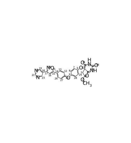 COCCC1(Oc2ccc(Oc3ccc(-c4cc(-c5cncnc5)no4)cc3)cc2)C(=O)NC(=O)NC1=O